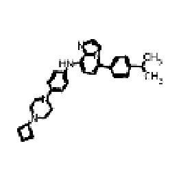 CC(C)c1ccc(-c2ccc(Nc3ccc(N4CCN(C5CCC5)CC4)cc3)c3nccn23)cc1